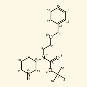 CC(C)(C)OC(=O)N(CCOCC1=CC=CCC1)[C@H]1CCCNC1